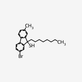 CCCCCCCCC1(S)c2cc(C)ccc2-c2ccc(Br)cc21